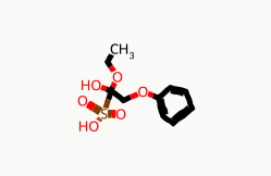 CCOC(O)(COc1ccccc1)S(=O)(=O)O